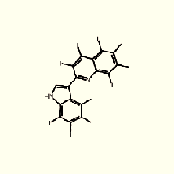 Cc1c(C)c(I)c2c(I)c(I)c(-c3c[nH]c4c(I)c(I)c(I)c(I)c34)nc2c1I